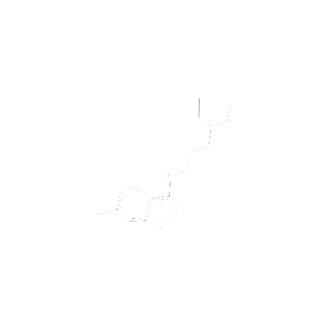 CCN(CC)CCCNc1ccnc2cc(I)ccc12